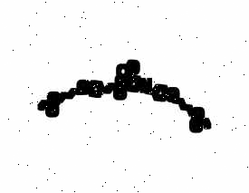 C=CC(=O)OCCCCCOc1ccc(/C=C/C(=O)Oc2ccc(/N=C/c3ccc(OCCCCCOC(=O)C=C)cc3)cc2C(=O)OC)cc1